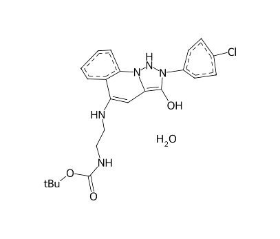 CC(C)(C)OC(=O)NCCNC1=CC2=C(O)N(c3ccc(Cl)cc3)NN2c2ccccc21.O